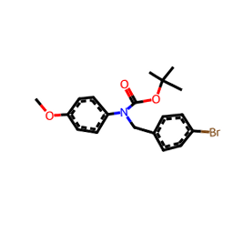 COc1ccc(N(Cc2ccc(Br)cc2)C(=O)OC(C)(C)C)cc1